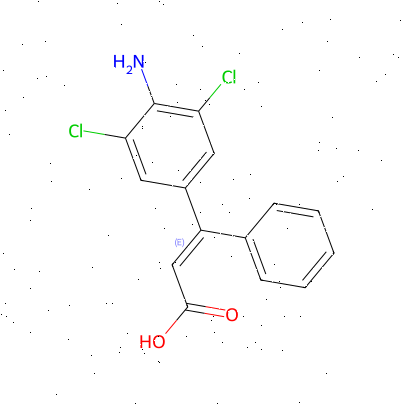 Nc1c(Cl)cc(/C(=C/C(=O)O)c2ccccc2)cc1Cl